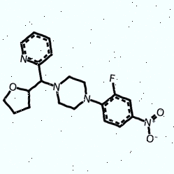 O=[N+]([O-])c1ccc(N2CCN(C(c3ccccn3)C3CCCO3)CC2)c(F)c1